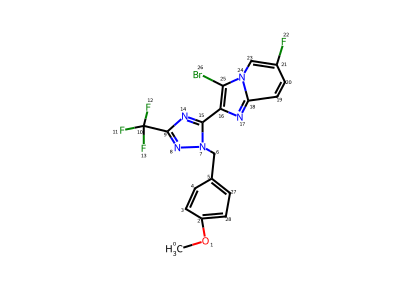 COc1ccc(Cn2nc(C(F)(F)F)nc2-c2nc3ccc(F)cn3c2Br)cc1